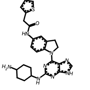 NC1CCC(Nc2nc(N3CCc4cc(NC(=O)Cc5cccs5)ccc43)c3nc[nH]c3n2)CC1